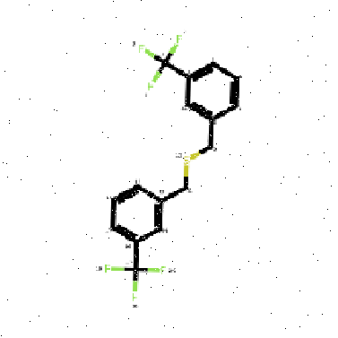 FC(F)(F)c1cccc(CSCc2cccc(C(F)(F)F)c2)c1